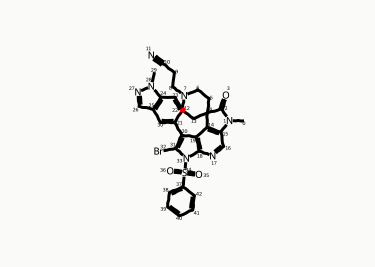 CN1C(=O)C2(CCN(CCC#N)CC2)c2c1cnc1c2c(-c2ccc3c(cnn3C)c2)c(Br)n1S(=O)(=O)c1ccccc1